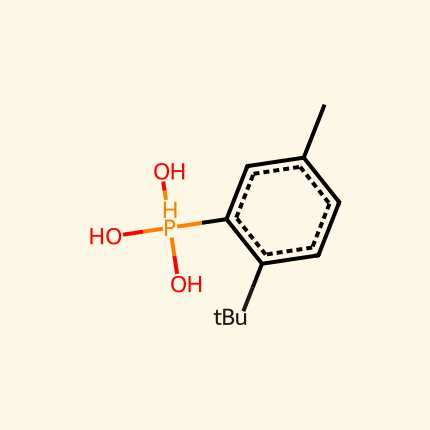 Cc1ccc(C(C)(C)C)c([PH](O)(O)O)c1